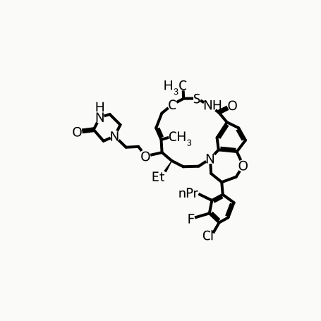 CCCc1c(C2COc3ccc4cc3N(CC[C@@H](CC)C(OCCN3CCNC(=O)C3)/C(C)=C/CCC(C)SNC4=O)C2)ccc(Cl)c1F